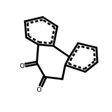 O=C1Cc2ccccc2-c2ccccc2C1=O